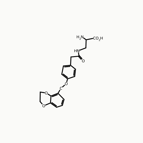 NC(CNC(=O)Cc1ccc(OCc2cccc3c2OCCO3)cc1)C(=O)O